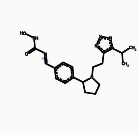 CC(C)n1nnnc1CCN1CCCC1c1ccc(/C=C/C(=O)NO)cc1